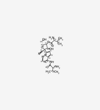 CC(C)C(N)C(=O)Nc1ncnn2c([C@]3(C#N)O[C@H](CO)[C@@H](OC(=O)C(N)C(C)C)[C@H]3O)ccc12